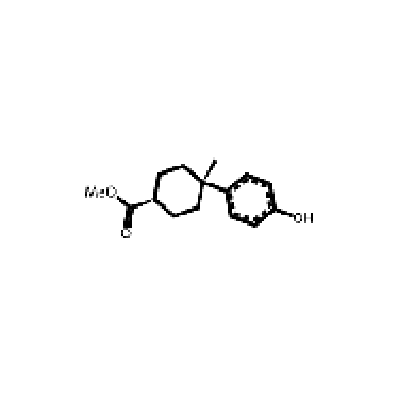 COC(=O)[C@H]1CC[C@](C)(c2ccc(O)cc2)CC1